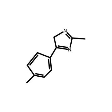 CC1=NCC(c2ccc(C)cc2)=N1